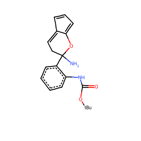 CC(C)(C)OC(=O)Nc1ccccc1C1(N)CC=C2C=CC=C2O1